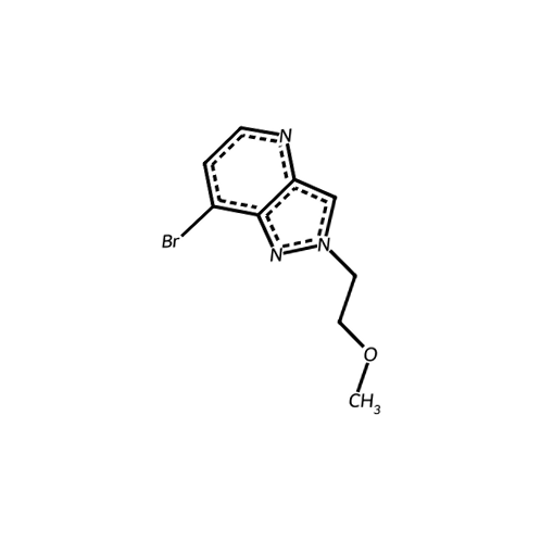 COCCn1cc2nccc(Br)c2n1